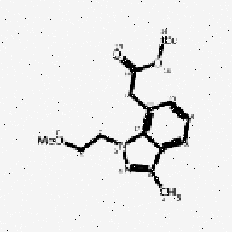 COCCn1nc(C)c2cccc(CC(=O)OC(C)(C)C)c21